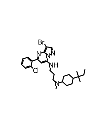 CCC(C)(C)C1CCC(N(C)CCCNc2cc(-c3ccccc3Cl)nc3c(Br)cnn23)CC1